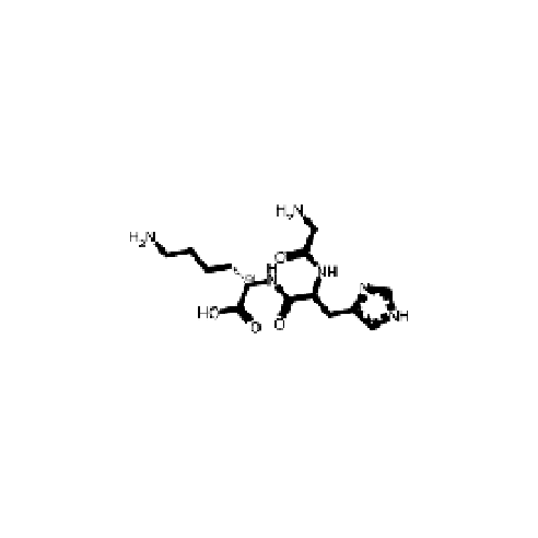 NCCCC[C@H](NC(=O)C(Cc1c[nH]cn1)NC(=O)CN)C(=O)O